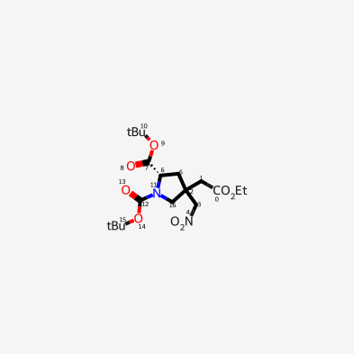 CCOC(=O)CC1(C[N+](=O)[O-])C[C@@H](C(=O)OC(C)(C)C)N(C(=O)OC(C)(C)C)C1